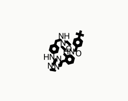 Cc1c(NC(=O)c2ccc(C(C)(C)C)cc2)cccc1-c1cn2ccnc2c(Nc2ccc(CC(=N)N3CCOCC3)cc2)n1